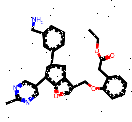 CCOC(=O)Cc1ccccc1OCc1coc2c(-c3cnc(C)nc3)cc(-c3cccc(CN)c3)cc12